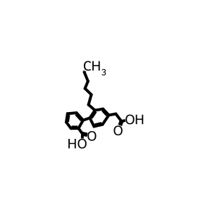 CCCCCCc1cc(CC(=O)O)ccc1-c1ccccc1C(=O)O